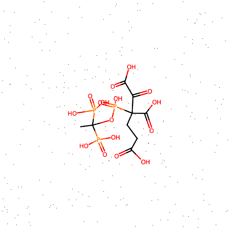 CC(OP(=O)(O)C(CCC(=O)O)(C(=O)O)C(=O)C(=O)O)(P(=O)(O)O)P(=O)(O)O